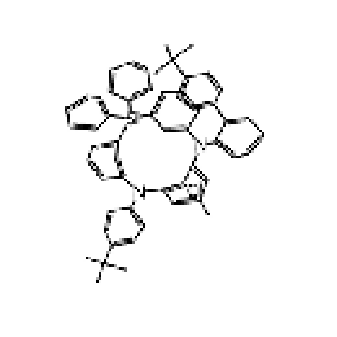 Cc1cc2c(Cl)c(c1)N(c1ccccc1-c1ccc(C(C)(C)C)cc1)c1cccc(c1)[Si](c1ccccc1)(c1ccccc1)c1cccc(c1)N2c1ccc(C(C)(C)C)cc1